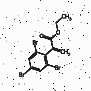 C=C(C(=O)OCC)c1c(Br)cc(Br)cc1Br